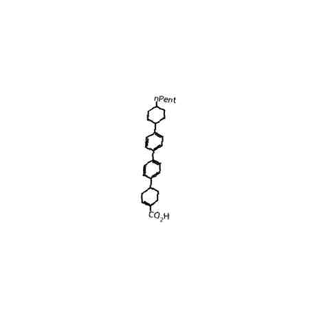 CCCCCC1CCC(c2ccc(-c3ccc(C4CC=C(C(=O)O)CC4)cc3)cc2)CC1